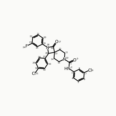 O=C(Nc1cccc(Cl)c1)N1CCC2(CC1)C(=O)N(c1cccc(F)c1)C2c1ccc(Cl)cc1